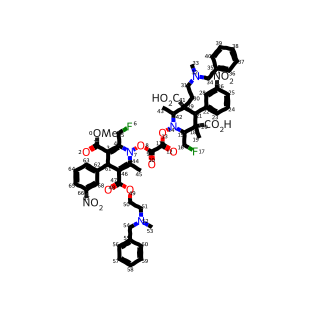 COC(=O)C1=C(CF)N(OC(=O)C(=O)ON2C(CF)C(C)(C(=O)O)C(c3cccc([N+](=O)[O-])c3)C(CCN(C)Cc3ccccc3)(C(=O)O)C2C)C(C)=C(C(=O)OCCN(C)Cc2ccccc2)C1c1cccc([N+](=O)[O-])c1